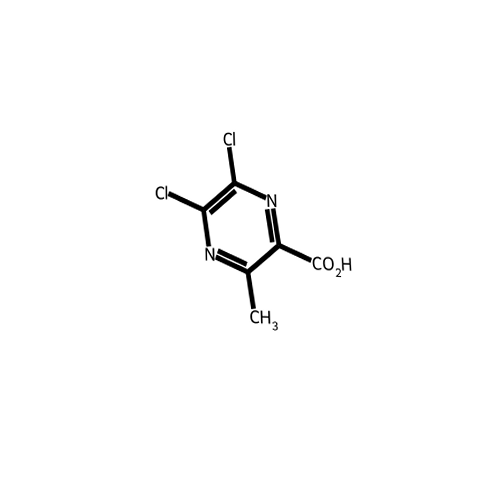 Cc1nc(Cl)c(Cl)nc1C(=O)O